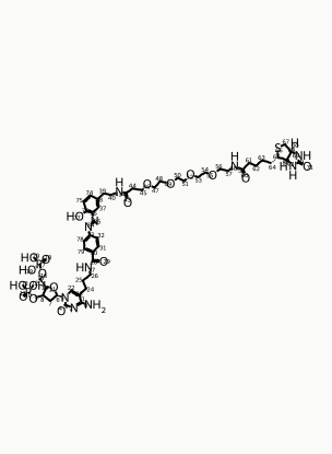 Nc1nc(=O)n([C@H]2CC(OP(=O)(O)O)[C@@H](COP(=O)(O)O)O2)cc1CCCNC(=O)c1ccc(/N=N/c2cc(CCNC(=O)CCOCCOCCOCCOCCNC(=O)CCCC[C@@H]3SC[C@@H]4NC(=O)N[C@@H]43)ccc2O)cc1